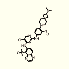 CN(C)C1CC2(CCN(c3ccc(Nc4ncc(Cl)c(Nc5ccc6nccnc6c5P(C)(C)=O)n4)cc3N=O)CC2)C1